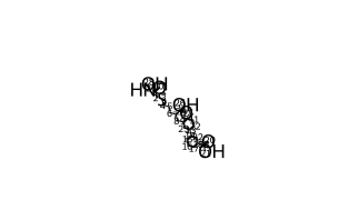 O=C(CSCCCC(Cc1cccc(-c2cccc(C(=O)O)c2)c1)C(=O)O)NO